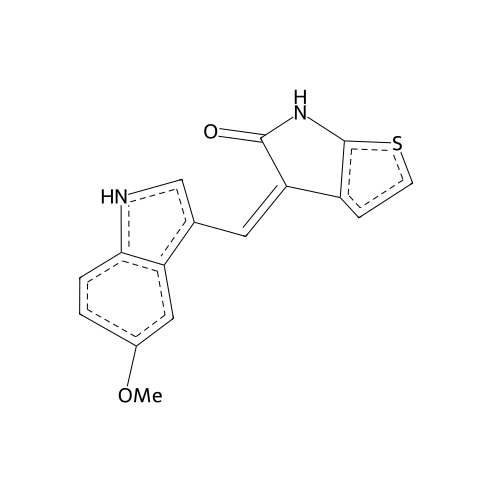 COc1ccc2[nH]cc(/C=C3\C(=O)Nc4sccc43)c2c1